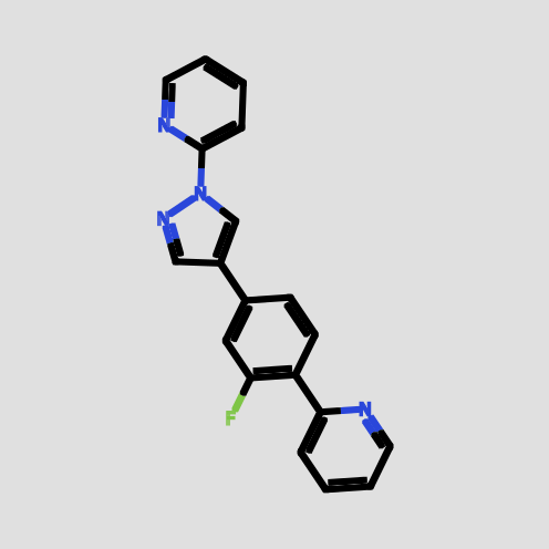 Fc1cc(-c2cnn(-c3ccccn3)c2)ccc1-c1ccccn1